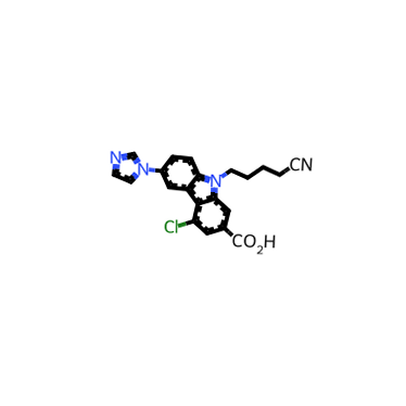 N#CCCCCn1c2ccc(-n3ccnc3)cc2c2c(Cl)cc(C(=O)O)cc21